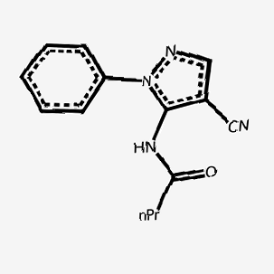 CCCC(=O)Nc1c(C#N)cnn1-c1ccccc1